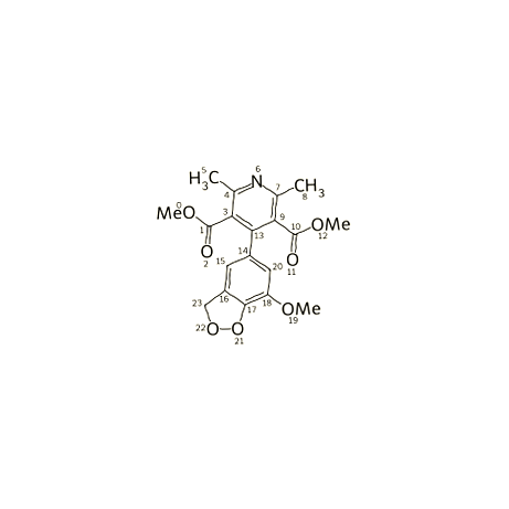 COC(=O)c1c(C)nc(C)c(C(=O)OC)c1-c1cc2c(c(OC)c1)OOC2